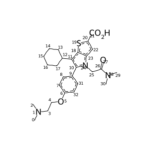 CN(C)CCOc1ccc(-c2c(C3CCCCC3)c3sc(C(=O)O)cc3n2CC(=O)N(C)C)cc1